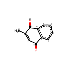 BC1=CC(=O)c2ccccc2C1=O